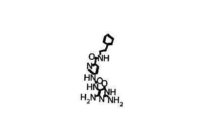 Nc1nc(N)c(NC(=O)Nc2ccc(C(=O)NCCc3ccccc3)nc2)c(=O)[nH]1